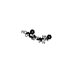 O=C(O)CC1CCC(=O)N(CC(=O)NCc2cc(CNc3nc4ccccc4[nH]3)cs2)c2ccccc21